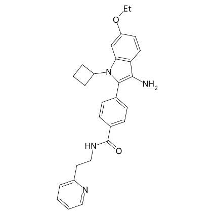 CCOc1ccc2c(N)c(-c3ccc(C(=O)NCCc4ccccn4)cc3)n(C3CCC3)c2c1